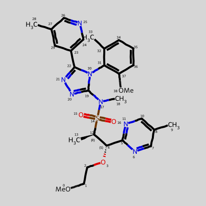 COCCO[C@@H](c1ncc(C)cn1)[C@@H](C)S(=O)(=O)N(C)c1nnc(-c2cncc(C)c2)n1-c1c(C)cccc1OC